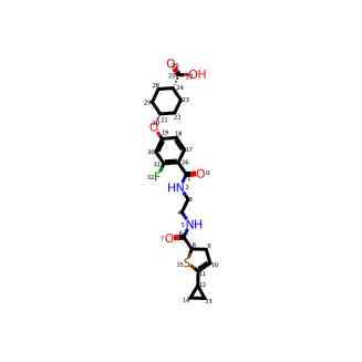 O=C(NCCNC(=O)C1CC=C(C2CC2)S1)c1ccc(O[C@H]2CC[C@@H](C(=O)O)CC2)cc1F